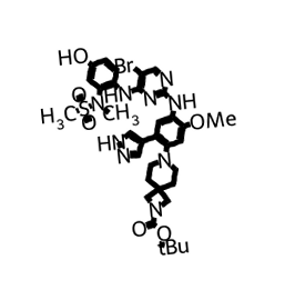 COc1cc(N2CCC3(CC2)CN(C(=O)OC(C)(C)C)C3)c(-c2cn[nH]c2)cc1Nc1ncc(Br)c(Nc2ccc(O)cc2N(C)S(C)(=O)=O)n1